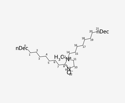 CCCCCCCCCCCCCCCCCC1=NCC[N+]1(C)CCCCCCCCCCCCCCCCC.[Cl-]